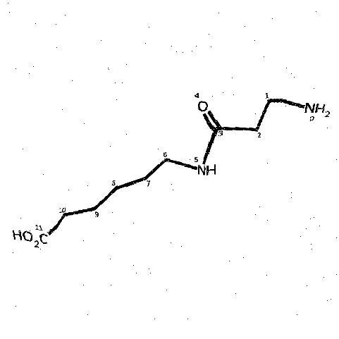 NCCC(=O)NCCCCCC(=O)O